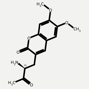 COc1cc2cc(C[C@H](N)C(C)=O)c(=O)oc2cc1OC